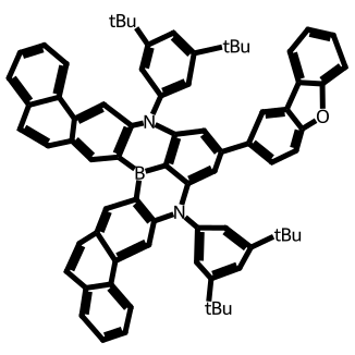 CC(C)(C)c1cc(N2c3cc4c(ccc5ccccc54)cc3B3c4cc5ccc6ccccc6c5cc4N(c4cc(C(C)(C)C)cc(C(C)(C)C)c4)c4cc(-c5ccc6oc7ccccc7c6c5)cc2c43)cc(C(C)(C)C)c1